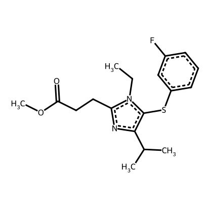 CCn1c(CCC(=O)OC)nc(C(C)C)c1Sc1cccc(F)c1